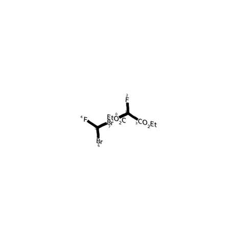 CCOC(=O)C(F)C(=O)OCC.FC(Br)Br